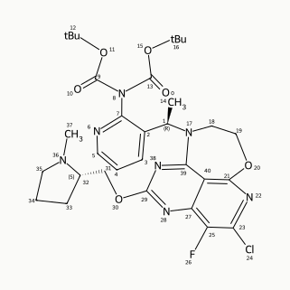 C[C@H](c1cccnc1N(C(=O)OC(C)(C)C)C(=O)OC(C)(C)C)N1CCOc2nc(Cl)c(F)c3nc(OC[C@@H]4CCCN4C)nc1c23